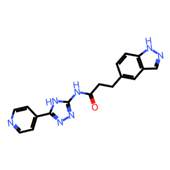 O=C(CCc1ccc2[nH]ncc2c1)Nc1nnc(-c2ccncc2)[nH]1